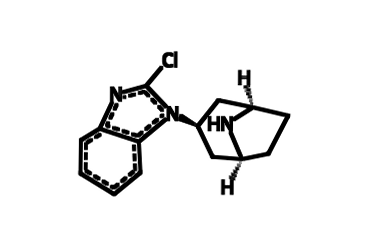 Clc1nc2ccccc2n1[C@H]1C[C@H]2CC[C@@H](C1)N2